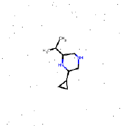 CC(C)C1CNCC(C2CC2)N1